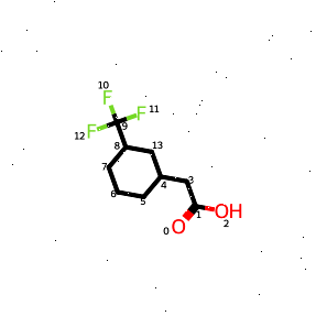 O=C(O)CC1CCCC(C(F)(F)F)C1